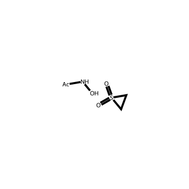 CC(=O)NO.O=S1(=O)CC1